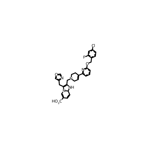 O=C(O)C1=CN2C(Cc3cocn3)=C(CN3CC=C(c4cccc(OCc5ccc(Cl)cc5F)n4)CC3)NC2C=C1